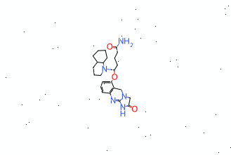 NC(=O)CCCC(Oc1cccc2c1CN1CC(=O)NC1=N2)N1CCCC2CCCCC21